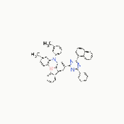 Cc1cccc(N2c3cc(C)ccc3B3c4ccccc4-c4cc(-c5nc(-c6ccccc6)nc(-c6cccc7ccccc67)n5)cc2c43)c1